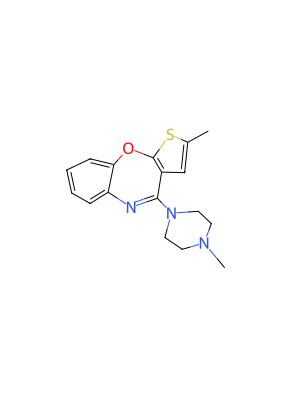 Cc1cc2c(s1)Oc1ccccc1N=C2N1CCN(C)CC1